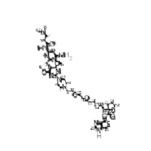 COc1nc(N2CCN(CCOCCOCCOCCC3(C(=O)Oc4scc5[nH]cnc45)CCCO3)CC2)nc(OC)c1Sc1nc(N)cc(NC(=O)CCN(C)C)n1